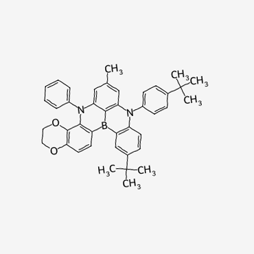 Cc1cc2c3c(c1)N(c1ccccc1)c1c(ccc4c1OCCO4)B3c1cc(C(C)(C)C)ccc1N2c1ccc(C(C)(C)C)cc1